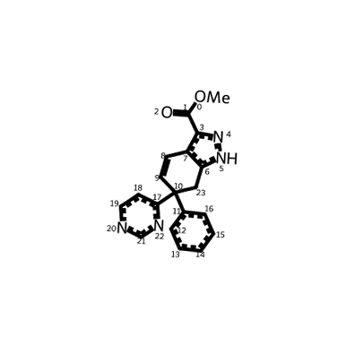 COC(=O)c1n[nH]c2c1C=CC(c1ccccc1)(c1ccncn1)C2